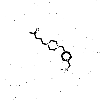 CC(=O)CCCN1CCN(Cc2ccc(CN)cc2)CC1